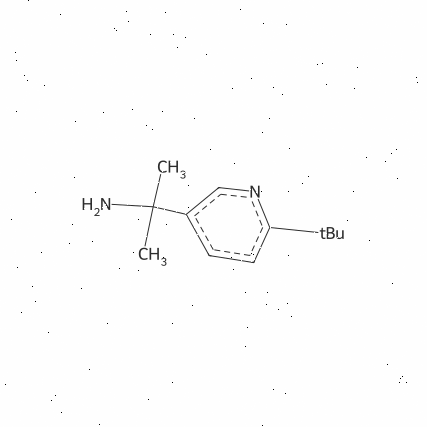 CC(C)(C)c1ccc(C(C)(C)N)cn1